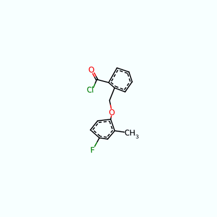 Cc1cc(F)ccc1OCc1ccccc1C(=O)Cl